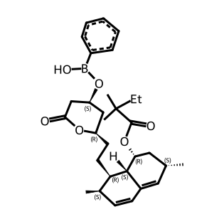 CCC(C)(C)C(=O)O[C@@H]1C[C@H](C)C=C2C=C[C@@H](C)[C@@H](CC[C@@H]3C[C@H](OB(O)c4ccccc4)CC(=O)O3)[C@@H]21